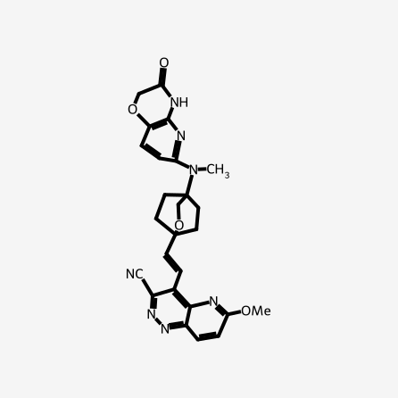 COc1ccc2nnc(C#N)c(/C=C/C34CCC(N(C)c5ccc6c(n5)NC(=O)CO6)(CC3)CO4)c2n1